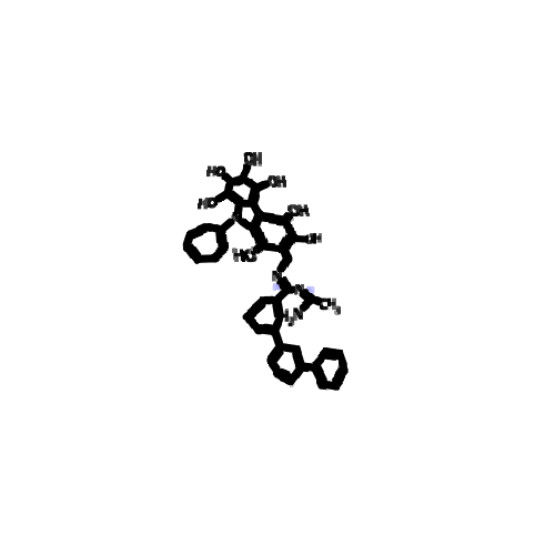 C/C(N)=N/C(=N\Cc1c(O)c(O)c2c3c(O)c(O)c(O)c(O)c3n(C3=CCC=CC=C3)c2c1O)c1cccc(-c2cccc(-c3ccccc3)c2)c1